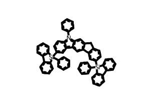 c1ccc(-n2c3ccc([Si]4(c5ccccc5)c5ccccc5-c5ccccc54)cc3c3cc4c(cc32)Cc2ccc([Si]3(c5ccccc5)c5ccccc5-c5ccccc53)cc2-4)cc1